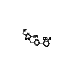 CCCc1nc(CC(C)C)nn1Cc1ccc(-c2ccccc2C(=O)O)cc1